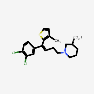 Cc1ccsc1/C(=C\CCN1CCCC(C(=O)O)C1)c1ccc(Cl)c(Cl)c1